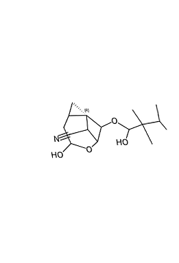 CC(C)C(C)(C)C(O)OC1C2OC(O)CC3C[C@]31C2C#N